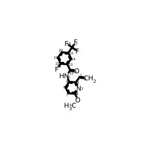 C=Cc1nc(OC)ccc1NC(=O)c1cc(C(F)(F)F)ccc1F